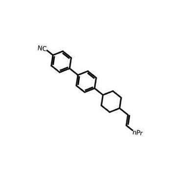 CCC/C=C/C1CCC(c2ccc(-c3ccc(C#N)cc3)cc2)CC1